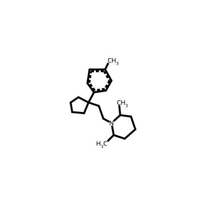 Cc1ccc(C2(CCN3C(C)CCCC3C)CCCC2)cc1